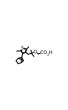 Cc1sc(C)c(C2=CC3CCC2C3)c1CC(C)(C)OCC(=O)O